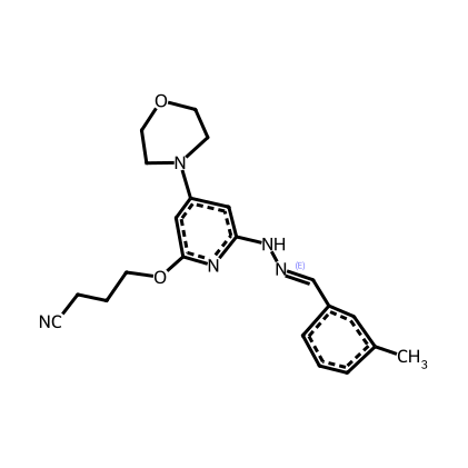 Cc1cccc(/C=N/Nc2cc(N3CCOCC3)cc(OCCCC#N)n2)c1